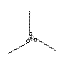 CCCCCCCCCCCCCCCc1ccc(OP(Oc2ccc(CCCCCCCCCCCCCCC)cc2)Oc2ccc(CCCCCCCCCCCCCCC)cc2)cc1